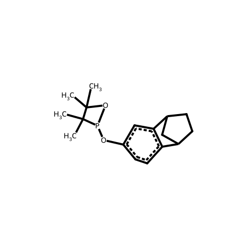 CC1(C)OP(Oc2ccc3c(c2)C2CCC3C2)C1(C)C